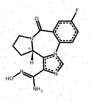 NC(=NO)c1ncn2c1[C@@H]1CCCN1C(=O)c1cc(F)ccc1-2